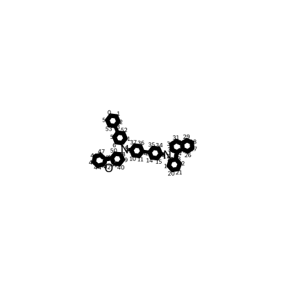 c1ccc(-c2ccc(N(c3ccc(-c4ccc(-n5c6ccccc6c6c7ccccc7ccc65)cc4)cc3)c3ccc4oc5ccccc5c4c3)cc2)cc1